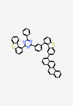 c1ccc(-c2nc(-c3cccc(-c4cccc5sc6ccc(-c7cccc8c7ccc7c9ccccc9ccc87)cc6c45)c3)nc(-c3cccc4sc5ccccc5c34)n2)cc1